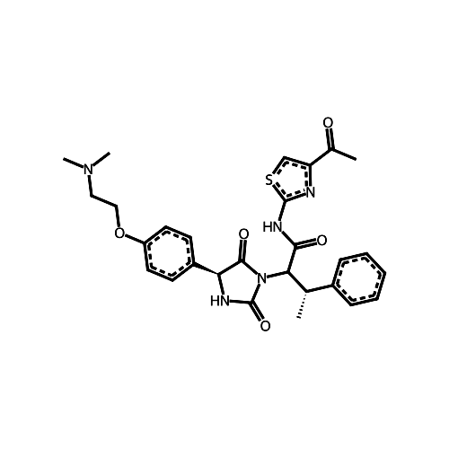 CC(=O)c1csc(NC(=O)C([C@@H](C)c2ccccc2)N2C(=O)N[C@@H](c3ccc(OCCN(C)C)cc3)C2=O)n1